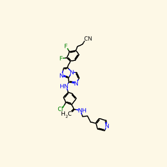 C=C(NCCCc1ccncc1)c1ccc(Nc2nccn3c(-c4ccc(CCC#N)c(F)c4F)cnc23)cc1Cl